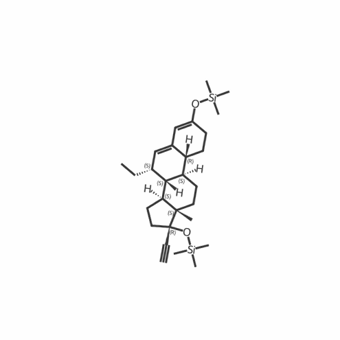 C#C[C@@]1(O[Si](C)(C)C)CC[C@H]2[C@H]3[C@H](CC[C@@]21C)[C@H]1CCC(O[Si](C)(C)C)=CC1=C[C@H]3CC